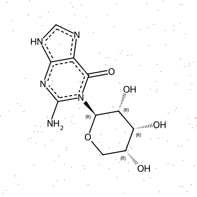 Nc1nc2[nH]cnc2c(=O)n1[C@@H]1OC[C@@H](O)[C@@H](O)[C@H]1O